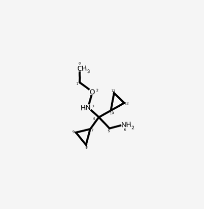 CCONC(CN)(C1CC1)C1CC1